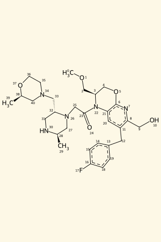 COC[C@H]1COc2nc(CO)c(Cc3ccc(F)cc3)cc2N1C(=O)CN1C[C@@H](C)NC[C@@H]1CN1CCO[C@H](C)C1